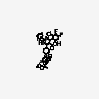 COC[C@H](CN(C1CCC(C2=C(C(=O)O)C(c3ccc(F)c(F)c3Cl)N=C(c3nccs3)N2)CC1)S(C)(=O)=O)OC(C)=O